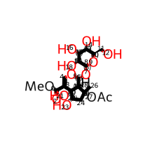 COC(=O)C1=CO[C@@H](O[C@@H]2O[C@H](CO)[C@@H](O)[C@H](O)[C@H]2O)[C@H]2[C@]1(O)[C@H](O)C[C@]2(C)OC(C)=O